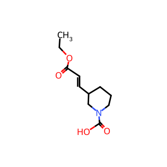 CCOC(=O)C=CC1CCCN(C(=O)O)C1